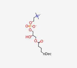 CCCCCCCCCCCCCC(=O)OC[C@@H](O)COP(=O)([O-])OCC[N+](C)(C)C